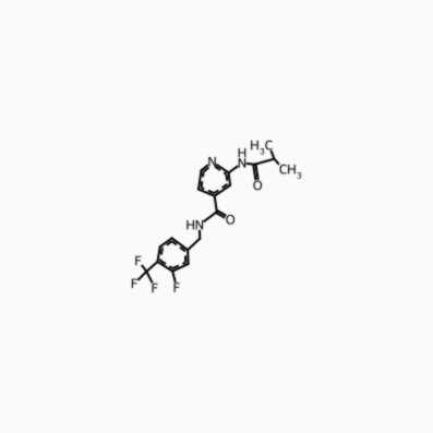 CC(C)C(=O)Nc1cc(C(=O)NCc2ccc(C(F)(F)F)c(F)c2)ccn1